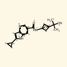 CC(C)(O)C12CC(NC(=O)c3cnc4c(c3)BC(C3CC3)=C4)(C1)C2